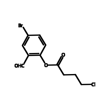 O=Cc1cc(Br)ccc1OC(=O)CCCCl